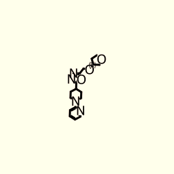 c1ccc(N2CCC(c3nnc(CO[C@@H]4CCOC4)o3)CC2)nc1